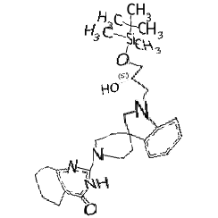 CC(C)(C)[Si](C)(C)OC[C@@H](O)CN1CC2(CCN(c3nc4c(c(=O)[nH]3)CCCC4)CC2)c2ccccc21